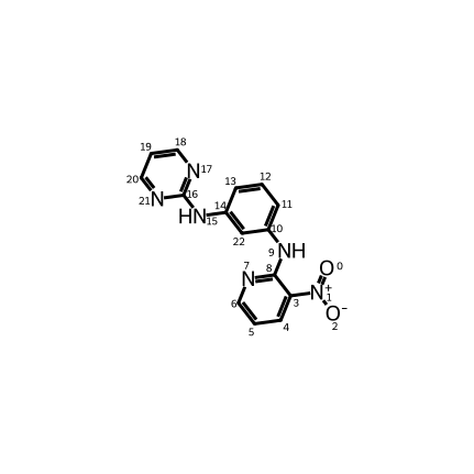 O=[N+]([O-])c1cccnc1Nc1cccc(Nc2ncccn2)c1